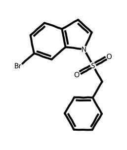 O=S(=O)(Cc1ccccc1)n1ccc2ccc(Br)cc21